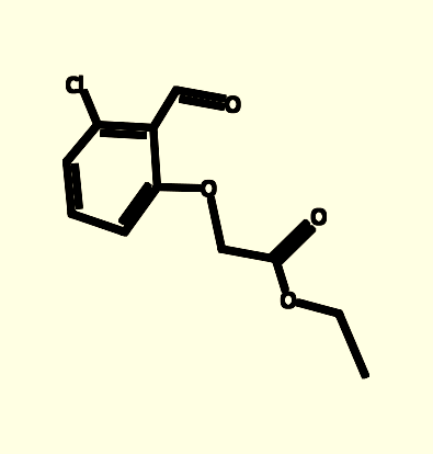 CCOC(=O)COc1cccc(Cl)c1C=O